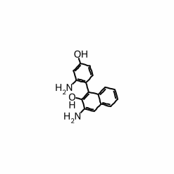 Nc1cc(O)ccc1-c1c(O)c(N)cc2ccccc12